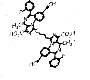 C#Cc1ccc2c(c1)C(c1ccccc1F)=NC(C)c1c(C(=O)O)nc(CCCCc3nc(C(=O)O)c4n3-c3ccc(C#C)cc3C(c3ccccc3F)=N[C@H]4C)n1-2